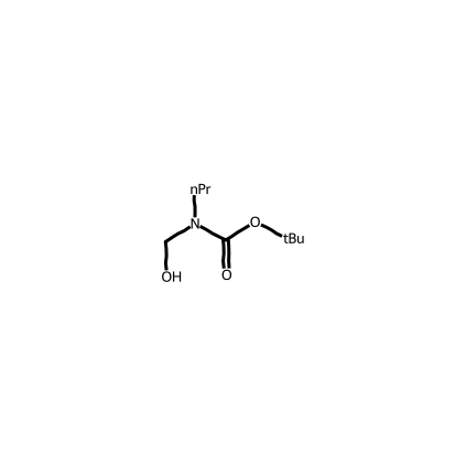 CCCN(CO)C(=O)OC(C)(C)C